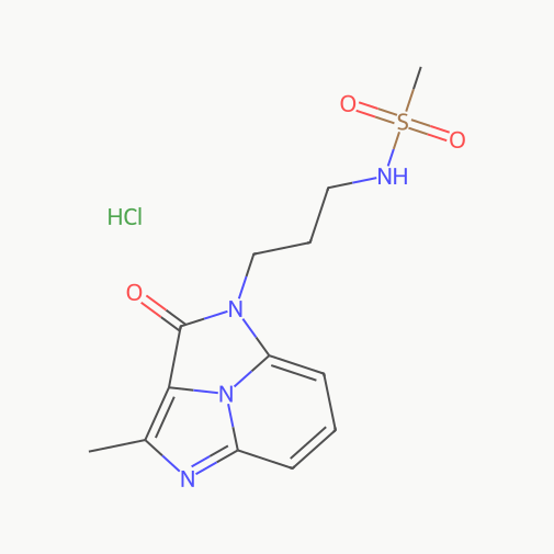 Cc1nc2cccc3n(CCCNS(C)(=O)=O)c(=O)c1n23.Cl